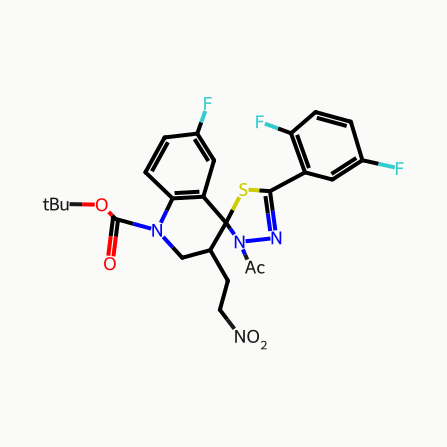 CC(=O)N1N=C(c2cc(F)ccc2F)SC12c1cc(F)ccc1N(C(=O)OC(C)(C)C)CC2CC[N+](=O)[O-]